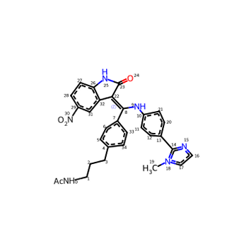 CC(=O)NCCCc1ccc(/C(Nc2ccc(-c3nccn3C)cc2)=C2/C(=O)Nc3ccc([N+](=O)[O-])cc32)cc1